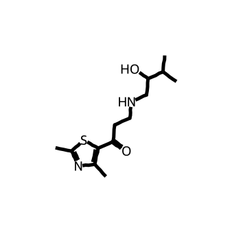 Cc1nc(C)c(C(=O)CCNCC(O)C(C)C)s1